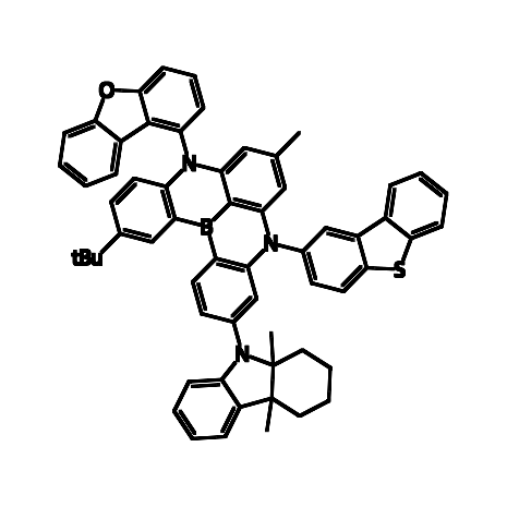 Cc1cc2c3c(c1)N(c1cccc4oc5ccccc5c14)c1ccc(C(C)(C)C)cc1B3c1ccc(N3c4ccccc4C4(C)CCCCC34C)cc1N2c1ccc2sc3ccccc3c2c1